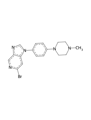 CN1CCN(c2ccc(-n3cnc4cnc(Br)cc43)cc2)CC1